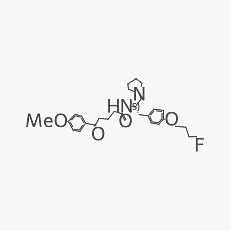 COc1ccc(C(=O)CCCC(=O)N[C@@H](Cc2ccc(OCCCCF)cc2)CN2CCCC2)cc1